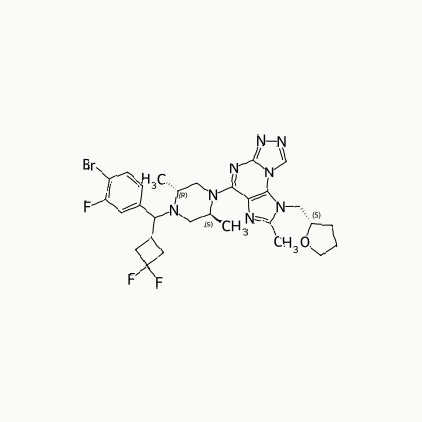 Cc1nc2c(N3C[C@@H](C)N(C(c4ccc(Br)c(F)c4)C4CC(F)(F)C4)C[C@@H]3C)nc3nncn3c2n1C[C@@H]1CCCO1